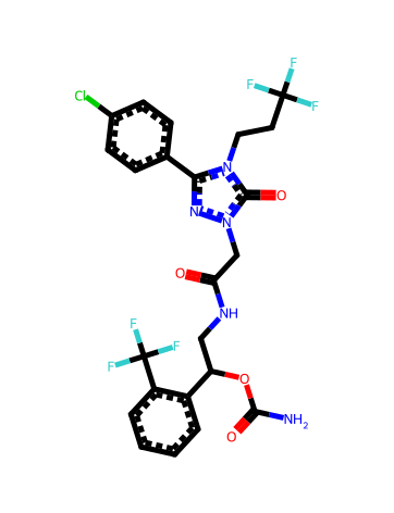 NC(=O)OC(CNC(=O)Cn1nc(-c2ccc(Cl)cc2)n(CCC(F)(F)F)c1=O)c1ccccc1C(F)(F)F